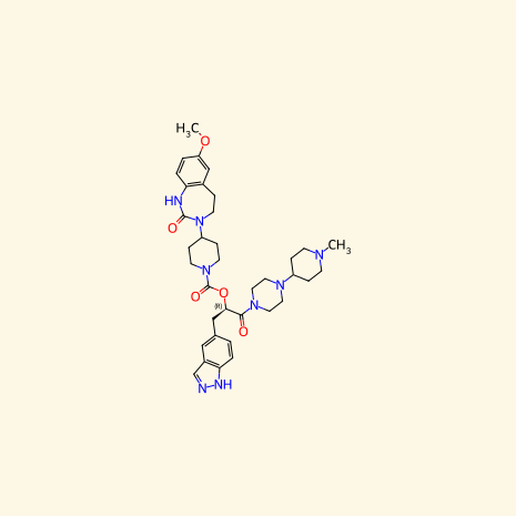 COc1ccc2c(c1)CCN(C1CCN(C(=O)O[C@H](Cc3ccc4[nH]ncc4c3)C(=O)N3CCN(C4CCN(C)CC4)CC3)CC1)C(=O)N2